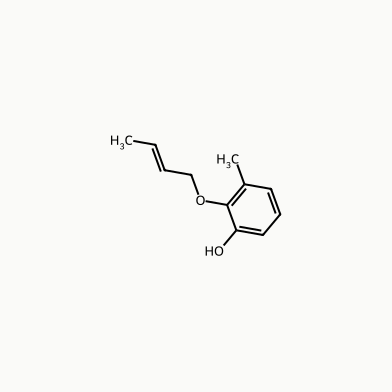 CC=CCOc1c(C)cccc1O